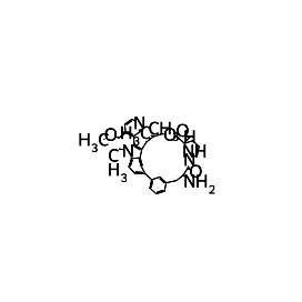 CCn1c(-c2cnccc2COC)c2c3cc(ccc31)-c1cccc(c1)C[C@H](N)C(=O)N1CCC[C@H](N1)C(=O)OCC(C)(C)C2